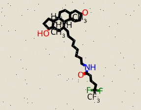 C[C@]12CCC(=O)CC1CC[C@@H]1[C@H]2C(CCCCCCCCNC(=O)CCCC(F)(F)C(F)(F)F)C[C@]2(C)C(O)CC[C@@H]12